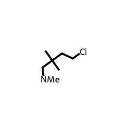 CNCC(C)(C)CCCl